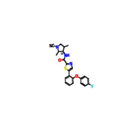 CC1CN(C#N)C(C)[C@@H]1NC(=O)c1ncc(-c2ccccc2Oc2ccc(F)cc2)s1